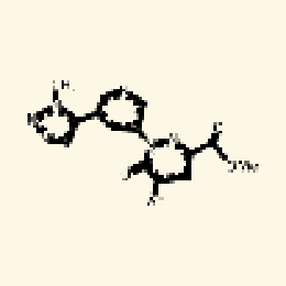 COC(=O)c1cc(C(C)=O)c(=O)n(-c2cncc(-c3cnnn3C)c2)n1